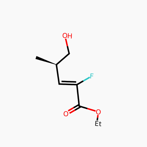 CCOC(=O)/C(F)=C/[C@@H](C)CO